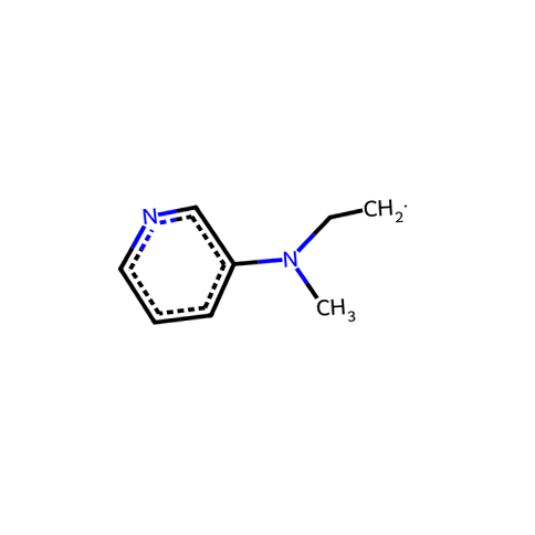 [CH2]CN(C)c1cccnc1